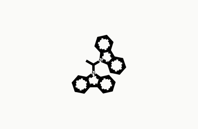 CC(n1c2ccccc2c2ccccc21)n1c2ccccc2c2ccccc21